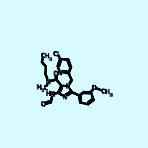 CCCCN(C)C(=O)c1c(NC=O)nc(-c2cccc(OC)c2)n1Cc1ccc(Cl)cn1